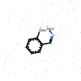 CO/N=[C]\c1ccccc1OC